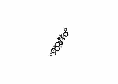 CN1C(=O)C=C[C@@]2(C)C1CC[C@@H]1[C@H]2CC[C@]2(C)C(NS(=O)(=O)c3cccc(Cl)c3)CC[C@@H]12